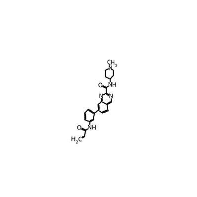 C=CC(=O)Nc1cccc(-c2ccc3cnc(C(=O)NC4CCN(C)CC4)nc3c2)c1